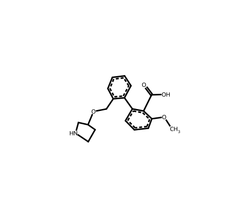 COc1cccc(-c2ccccc2COC2CCNC2)c1C(=O)O